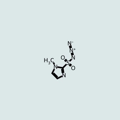 Cn1ccnc1S(=O)(=O)N=[N+]=[N-]